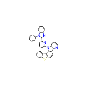 C1=CC2=NC(c3cccc(-n4c5cccnc5c5ccc6sc7ccccc7c6c54)n3)N(c3ccccc3)C2C=C1